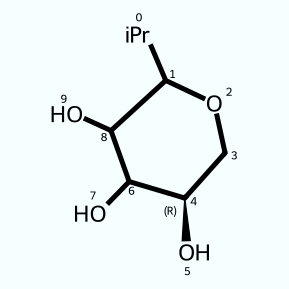 CC(C)C1OC[C@@H](O)C(O)C1O